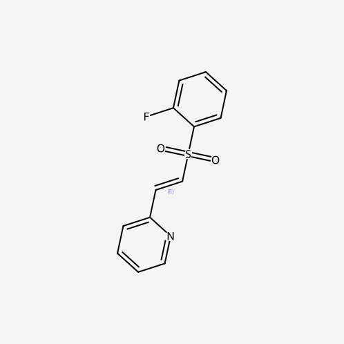 O=S(=O)(/C=C/c1ccccn1)c1ccccc1F